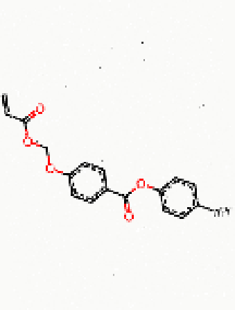 C=CC(=O)OCOc1ccc(C(=O)Oc2ccc(CCC)cc2)cc1